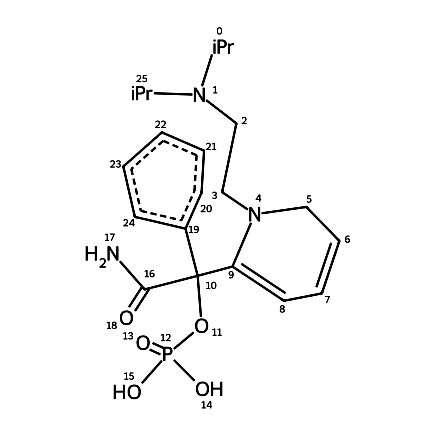 CC(C)N(CCN1CC=CC=C1C(OP(=O)(O)O)(C(N)=O)c1ccccc1)C(C)C